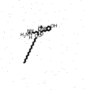 CCCCCCCCCCCCCCCCOC(=O)C(CCCNC(=N)N)NC(=O)C(CC1CCC(O)CC1)NC(C)=O